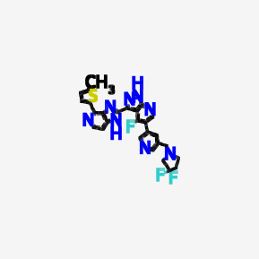 Cc1ccc(-c2nccc3[nH]c(-c4n[nH]c5ncc(-c6cncc(CN7CCC(F)(F)C7)c6)c(F)c45)nc23)s1